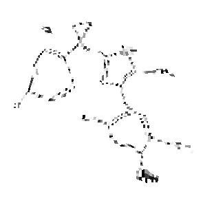 COc1cc(Cl)c(-c2nc(C3(c4ccc(Cl)cc4Cl)CC3)[nH]c2C)cc1C